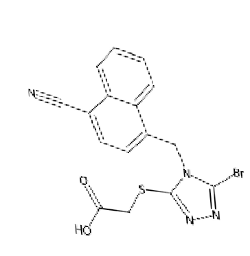 N#Cc1ccc(Cn2c(Br)nnc2SCC(=O)O)c2ccccc12